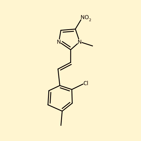 Cc1ccc(/C=C/c2ncc([N+](=O)[O-])n2C)c(Cl)c1